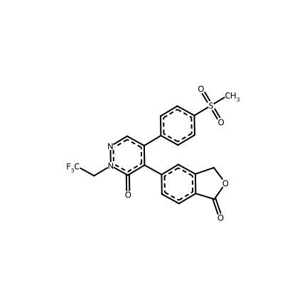 CS(=O)(=O)c1ccc(-c2cnn(CC(F)(F)F)c(=O)c2-c2ccc3c(c2)COC3=O)cc1